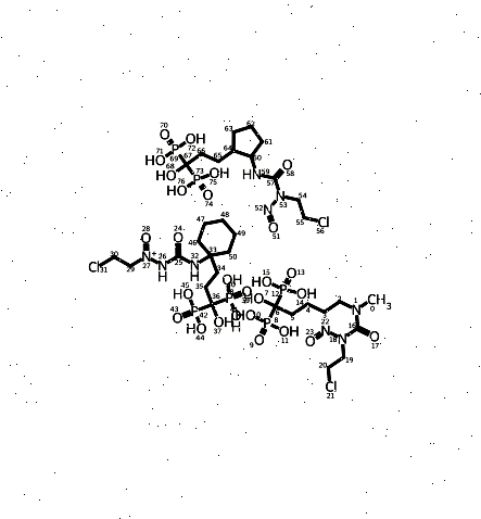 CN(CCCCC(O)(P(=O)(O)O)P(=O)(O)O)C(=O)N(CCCl)N=O.O=C(N[N+](=O)CCCl)NC1(CCC(O)(P(=O)(O)O)P(=O)(O)O)CCCCC1.O=NN(CCCl)C(=O)NC1CCCC1CCC(O)(P(=O)(O)O)P(=O)(O)O